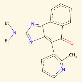 CCN(CC)C1=NC2=C(c3cccnc3C)C(=O)c3ccccc3C2=N1